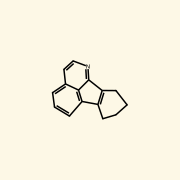 c1cc2c3c(nccc3c1)C1=C2CCCC1